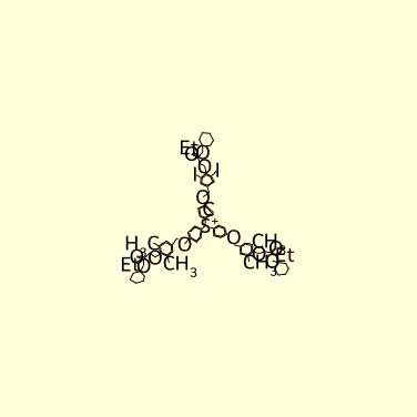 CCC1(OC(=O)COc2c(C)cc(COc3ccc([S+](c4ccc(OCc5cc(C)c(OCC(=O)OC6(CC)CCCCC6)c(C)c5)cc4)c4ccc(OCc5cc(I)c(OCC(=O)OC6(CC)CCCCC6)c(I)c5)cc4)cc3)cc2C)CCCCC1